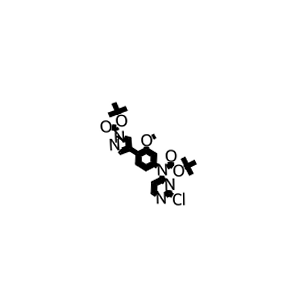 COc1cc(N(C(=O)OC(C)(C)C)c2ccnc(Cl)n2)ccc1-c1cnn(C(=O)OC(C)(C)C)c1